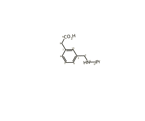 CC(C)NCc1cccc(CC(=O)O)c1